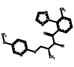 CCN(C(=O)c1cccc(C)c1-n1nccn1)[C@@H](C)COc1ccc(OC(F)(F)F)cn1